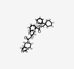 O=C(NCC1(c2cccnc2)CCCCC1)c1cccc2nc(CC(=O)N3CCn4cncc4C3)cn12